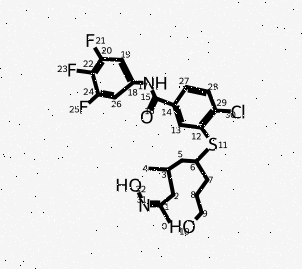 C/C(CC(C)CC(CCCO)Sc1cc(C(=O)Nc2cc(F)c(F)c(F)c2)ccc1Cl)=N/O